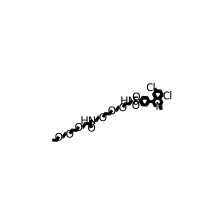 CCOCCOCCOCCC(=O)NCCOCCOCCOCCNS(=O)(=O)c1ccc(C2CN(C)Cc3c(Cl)cc(Cl)cc32)cc1